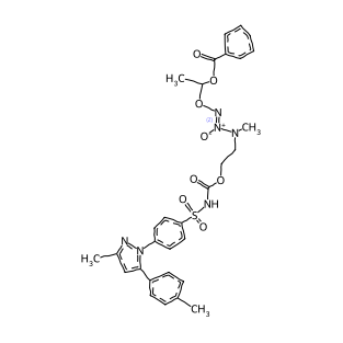 Cc1ccc(-c2cc(C)nn2-c2ccc(S(=O)(=O)NC(=O)OCCN(C)/[N+]([O-])=N/OC(C)OC(=O)c3ccccc3)cc2)cc1